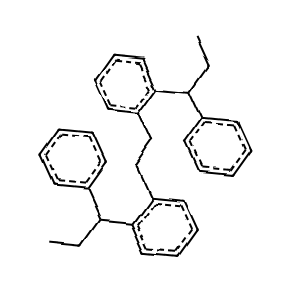 CCC(c1ccccc1)c1ccccc1CCc1ccccc1C(CC)c1ccccc1